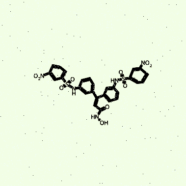 O=C(C=C(c1cccc(NS(=O)(=O)c2cccc([N+](=O)[O-])c2)c1)c1cccc(NS(=O)(=O)c2cccc([N+](=O)[O-])c2)c1)NO